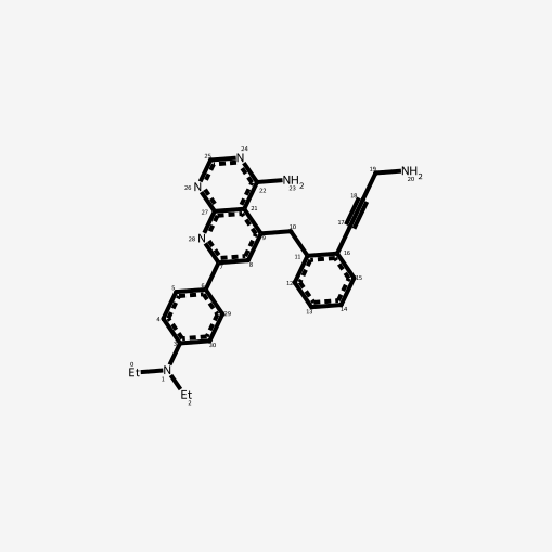 CCN(CC)c1ccc(-c2cc(Cc3ccccc3C#CCN)c3c(N)ncnc3n2)cc1